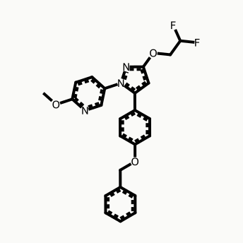 COc1ccc(-n2nc(OCC(F)F)cc2-c2ccc(OCc3ccccc3)cc2)cn1